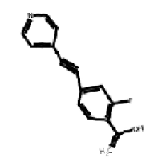 C=C(O)c1ccc(C#Cc2ccncc2)cc1F